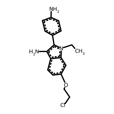 CCn1c(-c2ccc(N)cc2)c(N)c2ccc(OCCCl)cc21